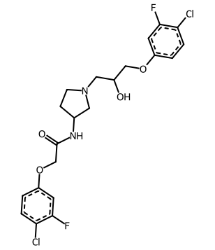 O=C(COc1ccc(Cl)c(F)c1)NC1CCN(CC(O)COc2ccc(Cl)c(F)c2)C1